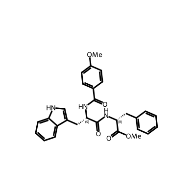 COC(=O)[C@@H](Cc1ccccc1)NC(=O)[C@H](Cc1c[nH]c2ccccc12)NC(=O)c1ccc(OC)cc1